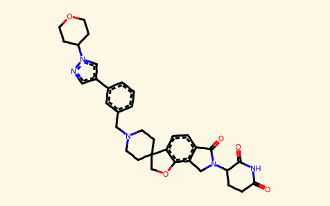 O=C1CCC(N2Cc3c(ccc4c3OCC43CCN(Cc4cccc(-c5cnn(C6CCOCC6)c5)c4)CC3)C2=O)C(=O)N1